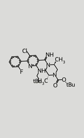 C[C@@H]1CN(C(=N)c2cc(Cl)c(-c3ccccc3F)nc2NCC(C)(C)C)[C@@H](C)CN1C(=O)OC(C)(C)C